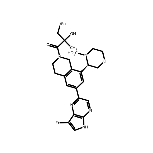 CCc1c[nH]c2ncc(-c3cc4c(c([C@@H]5COCCN5C(=O)O)c3)CN(C(=O)C(C)(O)CC(C)(C)C)CC4)nc12